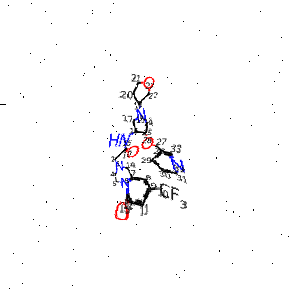 O=C(CN1CCn2c(cc(C(F)(F)F)cc2=O)C1)NC1CN(C2CCOC2)C[C@@H]1OCc1cccnc1